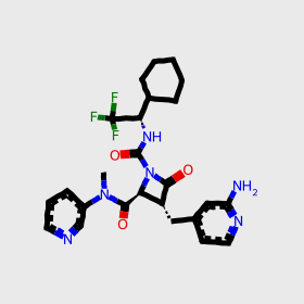 CN(C(=O)[C@@H]1[C@@H](Cc2ccnc(N)c2)C(=O)N1C(=O)N[C@@H](C1CCCCC1)C(F)(F)F)c1cccnc1